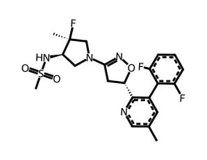 Cc1cnc([C@@H]2CC(N3C[C@@H](NS(C)(=O)=O)[C@@](C)(F)C3)=NO2)c(-c2c(F)cccc2F)c1